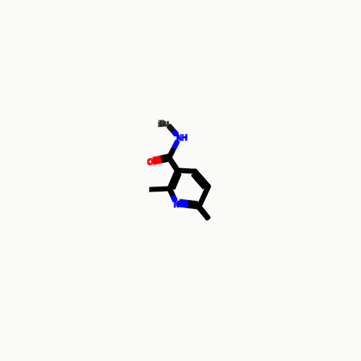 CCC(C)NC(=O)c1ccc(C)nc1C